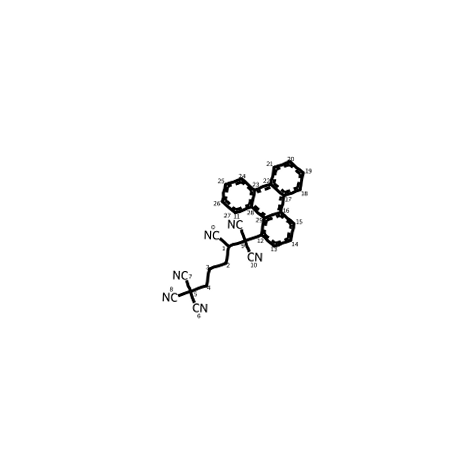 N#CC(CCCC(C#N)(C#N)C#N)C(C#N)(C#N)c1cccc2c3ccccc3c3ccccc3c12